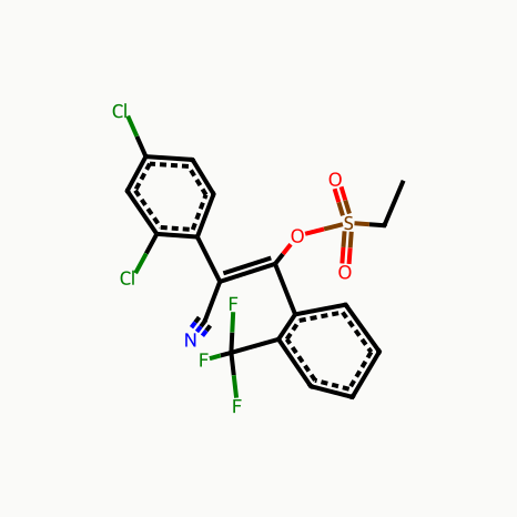 CCS(=O)(=O)OC(=C(C#N)c1ccc(Cl)cc1Cl)c1ccccc1C(F)(F)F